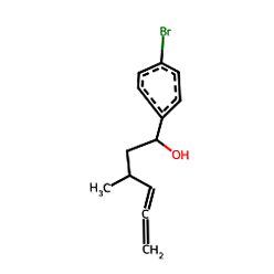 C=C=CC(C)CC(O)c1ccc(Br)cc1